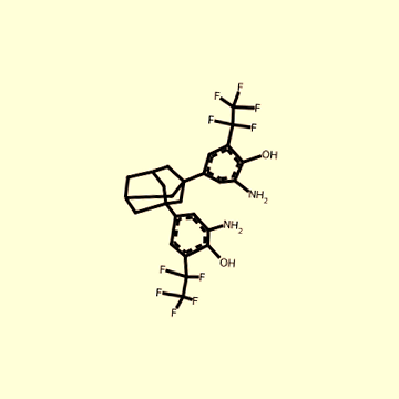 Nc1cc(C23CC4CC(C2)CC(c2cc(N)c(O)c(C(F)(F)C(F)(F)F)c2)(C4)C3)cc(C(F)(F)C(F)(F)F)c1O